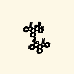 COC(=O)c1ncccc1-c1cc2[nH]c3ccccc3c2c2ccc(COC(=O)c3cnccc3-c3cc4[nH]c5ccccc5c4c4ccccc34)cc12